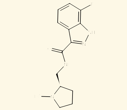 CN1CCC[C@@H]1CNC(=O)c1n[nH]c2c(F)cccc12